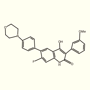 COc1cccc(-c2c(O)c3cc(-c4ccc(N5CCOCC5)cc4)c(F)cc3[nH]c2=O)c1